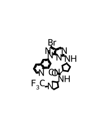 N#Cc1cc(-n2nc(Br)c3cnc(N[C@@H]4CC[C@@H](C(=O)NC5CCN(CC(F)(F)F)C5)C4)nc32)cc2cccnc12